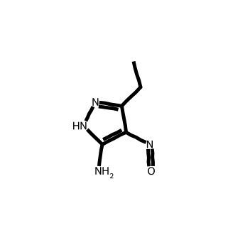 CCc1n[nH]c(N)c1N=O